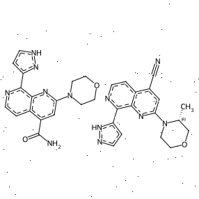 C[C@@H]1COCCN1c1cc(C#N)c2ccnc(-c3ccn[nH]3)c2n1.NC(=O)c1cc(N2CCOCC2)nc2c(-c3cc[nH]n3)nccc12